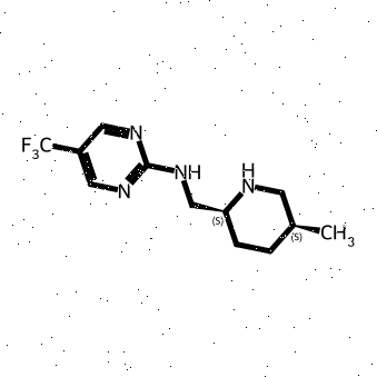 C[C@H]1CC[C@@H](CNc2ncc(C(F)(F)F)cn2)NC1